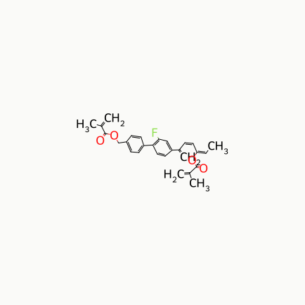 C=C(C)C(=O)OCc1ccc(-c2ccc(C(=C)/C=C\C(=C/C)OC(=O)C(=C)C)cc2F)cc1